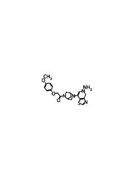 COc1ccc(OCC(=O)N2CC3CC2CN3C2=CN(N)Cc3ncsc32)cc1